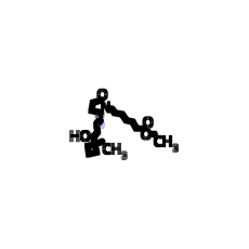 CCOC(=O)CCCCCCN1C(=O)CC[C@@H]1/C=C/C[C@H](O)C1(CC)CCC1